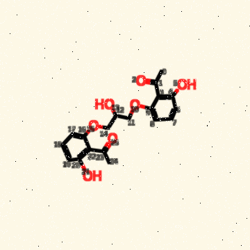 CC(=O)c1c(O)cccc1OCC(O)COc1cccc(O)c1C(C)=O